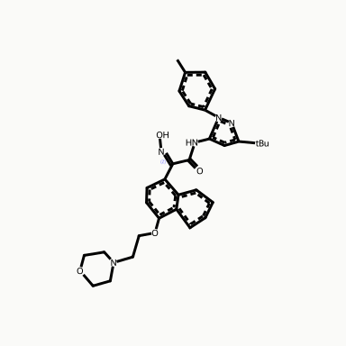 Cc1ccc(-n2nc(C(C)(C)C)cc2NC(=O)/C(=N\O)c2ccc(OCCN3CCOCC3)c3ccccc23)cc1